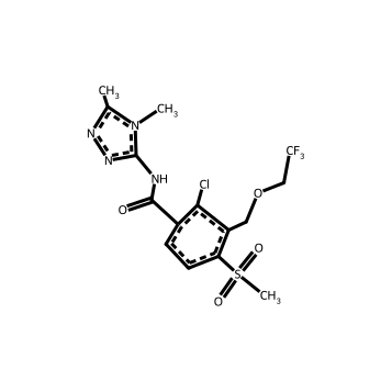 Cc1nnc(NC(=O)c2ccc(S(C)(=O)=O)c(COCC(F)(F)F)c2Cl)n1C